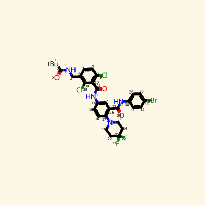 CC(C)(C)C(=O)NCc1ccc(Cl)c(C(=O)Nc2ccc(N3CCC(F)(F)CC3)c(C(=O)Nc3ccc(Br)cc3)c2)c1Cl